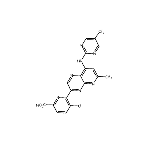 Cc1cc(Nc2ncc(C(F)(F)F)cn2)c2ncc(-c3nc(C(=O)O)ccc3Cl)nc2n1